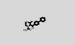 CC1NCCN(C(=O)O)C1C(=O)c1ccc(-c2ccccc2)cc1